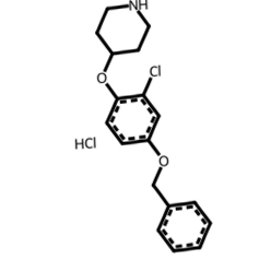 Cl.Clc1cc(OCc2ccccc2)ccc1OC1CCNCC1